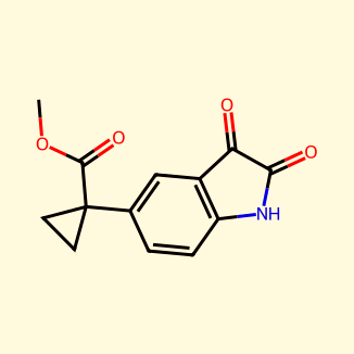 COC(=O)C1(c2ccc3c(c2)C(=O)C(=O)N3)CC1